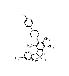 Cc1ccc(C2c3c(C)c(N4CCN(c5ccc(C#N)cc5)CC4)c(C)c(C)c3OC2(C)C)cc1